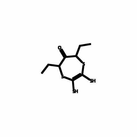 CCC1SC(S)=C(S)SC(CC)C1=O